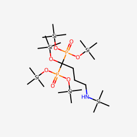 C[Si](C)(C)NCCCC(O[Si](C)(C)C)(P(=O)(O[Si](C)(C)C)O[Si](C)(C)C)P(=O)(O[Si](C)(C)C)O[Si](C)(C)C